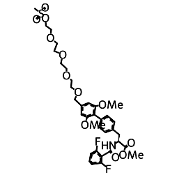 COC(=O)[C@H](Cc1ccc(-c2c(OC)cc(COCCOCCOCCOCCOS(C)(=O)=O)cc2OC)cc1)NC(=O)c1c(F)cccc1F